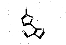 O=Cc1ccoc1-c1ccc(I)s1